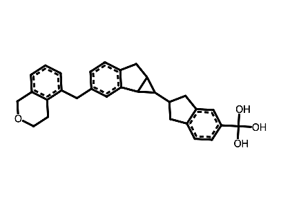 OC(O)(O)c1ccc2c(c1)CC(C1C3Cc4ccc(Cc5cccc6c5CCOC6)cc4C31)C2